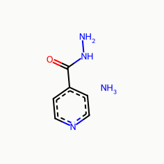 N.NNC(=O)c1ccncc1